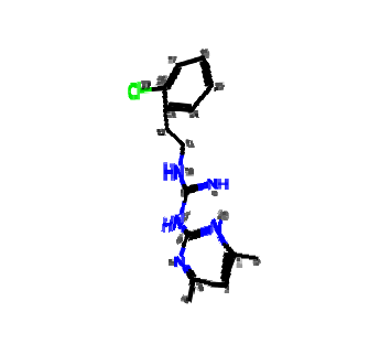 Cc1cc(C)nc(NC(=N)NCCc2ccccc2Cl)n1